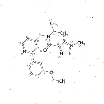 CCOc1cccc(-c2cc(CN(C(=O)c3cn(C)cn3)C(C)C)ccn2)c1